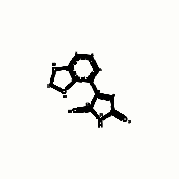 O=C1C=C(c2cccc3c2OCO3)C(=O)N1